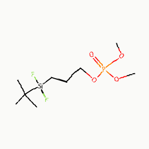 COP(=O)(OC)OCCC[Si](F)(F)C(C)(C)C